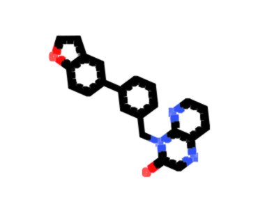 O=c1cnc2cccnc2n1Cc1cccc(-c2ccc3occc3c2)c1